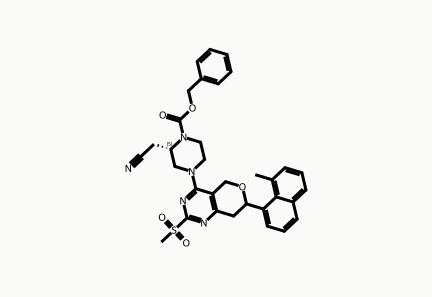 Cc1cccc2cccc(C3Cc4nc(S(C)(=O)=O)nc(N5CCN(C(=O)OCc6ccccc6)[C@@H](CC#N)C5)c4CO3)c12